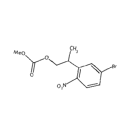 COC(=O)OCC(C)c1cc(Br)ccc1[N+](=O)[O-]